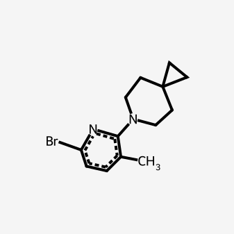 Cc1ccc(Br)nc1N1CCC2(CC1)CC2